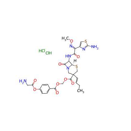 CCC=CC1(C(=O)OCOC(=O)c2ccc(OC(=O)CN)cc2)CS[C@@H]2C(NC(=O)C(=NOC)c3csc(N)n3)C(=O)N2C1.Cl.Cl